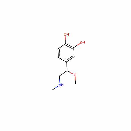 CNCC(OC)c1ccc(O)c(O)c1